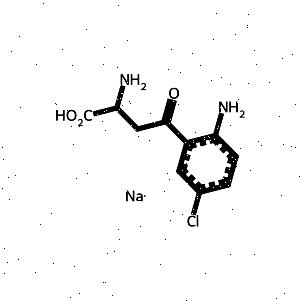 Nc1ccc(Cl)cc1C(=O)CC(N)C(=O)O.[Na]